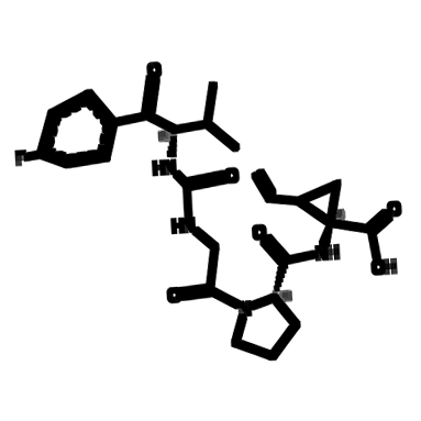 C=CC1C[C@]1(NC(=O)[C@@H]1CCCN1C(=O)CNC(=O)N[C@H](C(=O)c1ccc(F)cc1)C(C)C)C(=O)O